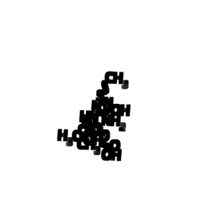 CCCSc1nc(O)c(N)c(N[C@@H]2C[C@H](OCC(=O)O)[C@H]3OC(C)(C)O[C@H]32)n1